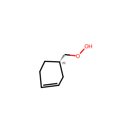 OOC[C@@H]1CC=CCC1